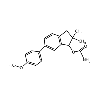 CC1(C)Cc2ccc(-c3ccc(OC(F)(F)F)cc3)cc2C1OC(N)=O